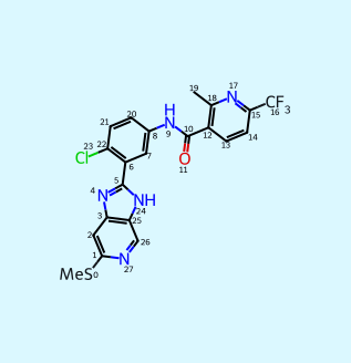 CSc1cc2nc(-c3cc(NC(=O)c4ccc(C(F)(F)F)nc4C)ccc3Cl)[nH]c2cn1